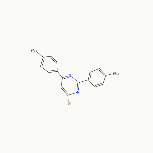 CC(C)(C)c1ccc(-c2cc(Br)nc(-c3ccc(C(C)(C)C)cc3)n2)cc1